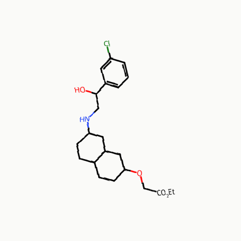 CCOC(=O)COC1CCC2CCC(NCC(O)c3cccc(Cl)c3)CC2C1